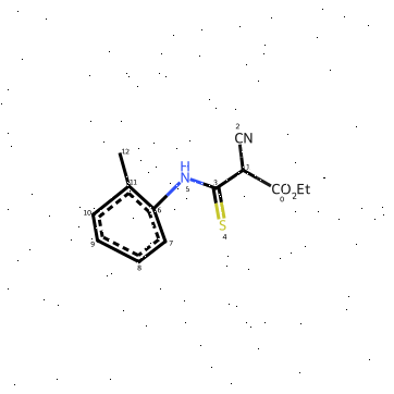 CCOC(=O)C(C#N)C(=S)Nc1ccccc1C